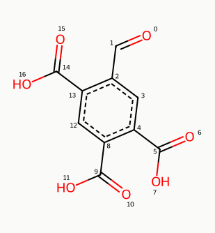 O=Cc1cc(C(=O)O)c(C(=O)O)cc1C(=O)O